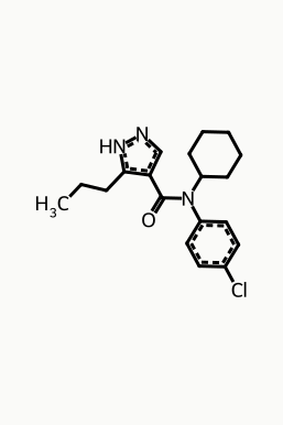 CCCc1[nH]ncc1C(=O)N(c1ccc(Cl)cc1)C1CCCCC1